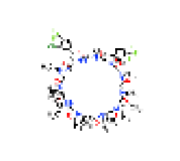 CC[C@H](C)[C@@H]1NC(=O)[C@H](C)N(C)C(=O)C[C@@H](C)N(C)C(=O)[C@H](CC(C)C)NC(=O)C(C)(C)N(C)C(=O)[C@H](CC(C)C)NC(=O)[C@H](CCc2ccc(C(F)(F)F)c(Cl)c2)NC(=O)CN(C)C(=O)[C@H](Cc2ccc(C(F)(F)F)cc2)N(C)C(=O)CN(C)C(=O)CN(C)C1=O